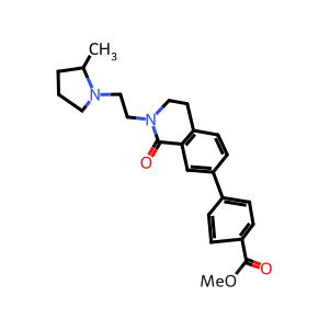 COC(=O)c1ccc(-c2ccc3c(c2)C(=O)N(CCN2CCCC2C)CC3)cc1